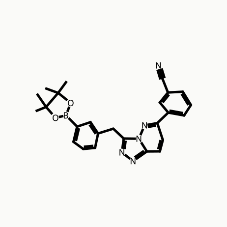 CC1(C)OB(c2cccc(Cc3nnc4ccc(-c5cccc(C#N)c5)nn34)c2)OC1(C)C